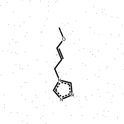 CO/C=C/Cn1cnnc1